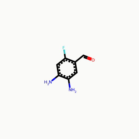 Nc1cc(F)c(C=O)cc1N